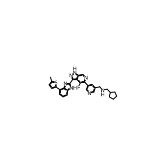 Cc1ccc(-c2cccc3[nH]c(-c4n[nH]c5cnc(-c6cncc(CNCC7CCCC7)c6)c(F)c45)nc23)s1